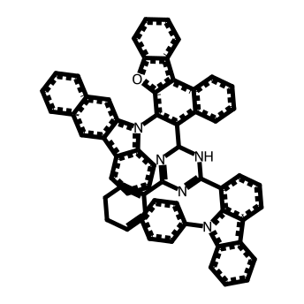 C1=CC(C2=NC(c3c(-n4c5ccccc5c5cc6ccccc6cc54)c4oc5ccccc5c4c4ccccc34)NC(c3cccc4c5ccccc5n(-c5ccccc5)c34)=N2)=CCC1